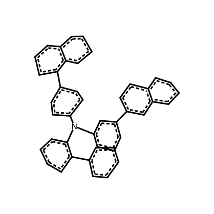 c1ccc(-c2ccccc2N(c2ccc(-c3cccc4ccccc34)cc2)c2cccc(-c3ccc4ccccc4c3)c2)cc1